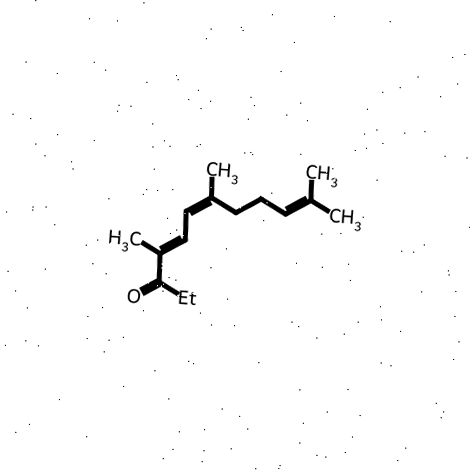 CCC(=O)C(C)=CC=C(C)CCC=C(C)C